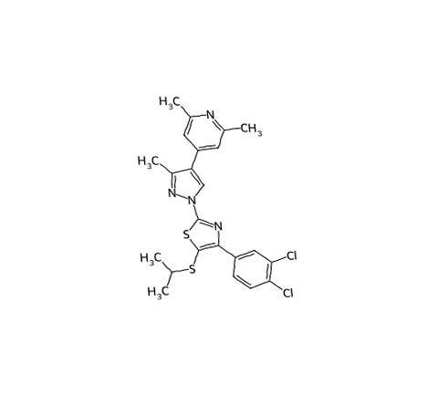 Cc1cc(-c2cn(-c3nc(-c4ccc(Cl)c(Cl)c4)c(SC(C)C)s3)nc2C)cc(C)n1